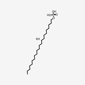 CCCCCCCCCCCCCCCCCCCCCCOP(=O)(O)O.[KH]